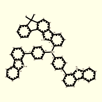 CC1(C)c2ccccc2-c2c1ccc1c2sc2c(N(c3ccc(-c4cccc5c4oc4ccccc45)cc3)c3ccc(-c4cccc5c4sc4ccccc45)cc3)cccc21